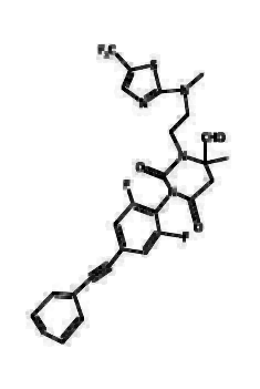 CN(CCN1C(=O)N(c2c(F)cc(C#Cc3ccccc3)cc2F)C(=O)CC1(C)C=O)c1ncc(C(F)(F)F)s1